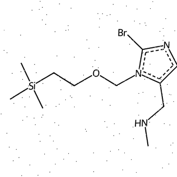 CNCc1cnc(Br)n1COCC[Si](C)(C)C